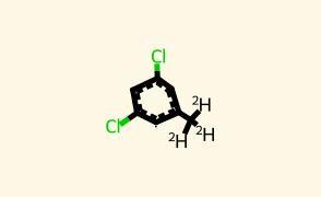 [2H]C([2H])([2H])c1[c]c(Cl)cc(Cl)c1